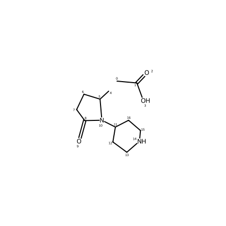 CC(=O)O.CC1CCC(=O)N1C1CCNCC1